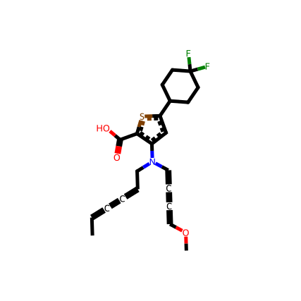 CC=C=C=CCN(C=C=C=COC)c1cc(C2CCC(F)(F)CC2)sc1C(=O)O